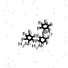 Fc1c(F)c(F)[c]([AlH2])c(F)c1F.Fc1c(F)c(F)[c]([AlH2])c(F)c1F.Fc1c(F)c(F)[c]([AlH2])c(F)c1F